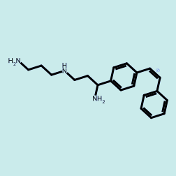 NCCCNCCC(N)c1ccc(/C=C\c2ccccc2)cc1